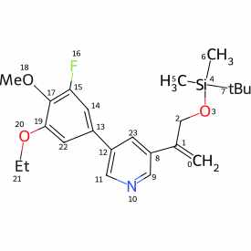 C=C(CO[Si](C)(C)C(C)(C)C)c1cncc(-c2cc(F)c(OC)c(OCC)c2)c1